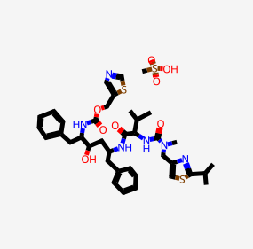 CC(C)c1nc(CN(C)C(=O)NC(C(=O)NC(Cc2ccccc2)CC(O)C(Cc2ccccc2)NC(=O)OCc2cncs2)C(C)C)cs1.CS(=O)(=O)O